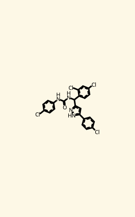 O=C(Nc1ccc(Cl)cc1)NC(c1cc(-c2ccc(Cl)cc2)[nH]n1)c1ccc(Cl)cc1Cl